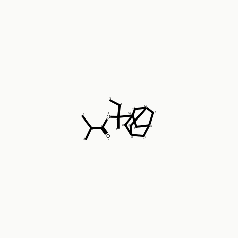 CCC(C)(OC(=O)C(C)C)C12CC3CC(CC(C3)C1)C2